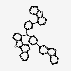 c1cc(-c2cccc3sc4ccccc4c23)cc(N(c2ccc(-c3ccc4c(ccc5ccccc54)c3)cc2)c2cccc3oc4c5ccccc5ccc4c23)c1